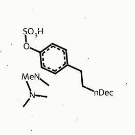 CCCCCCCCCCCCc1ccc(OS(=O)(=O)O)cc1.CN(C)C.CNC